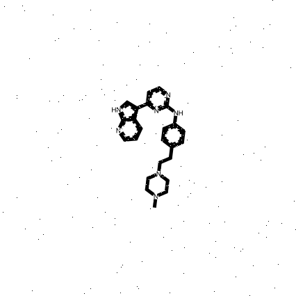 CN1CCN(CCc2ccc(Nc3nccc(-c4c[nH]c5ncccc45)n3)cc2)CC1